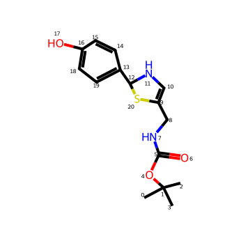 CC(C)(C)OC(=O)NCC1=CNC(c2ccc(O)cc2)S1